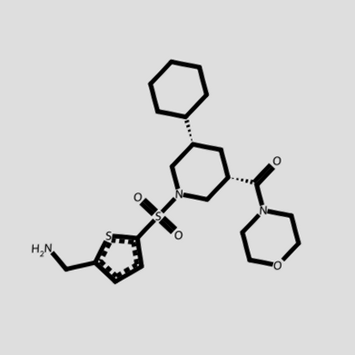 NCc1ccc(S(=O)(=O)N2C[C@@H](C(=O)N3CCOCC3)C[C@@H](C3CCCCC3)C2)s1